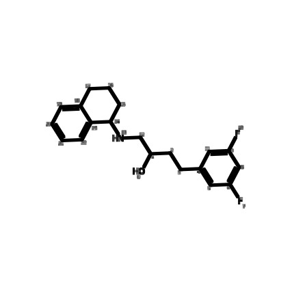 OC(CCc1cc(F)cc(F)c1)CNC1CCCc2ccccc21